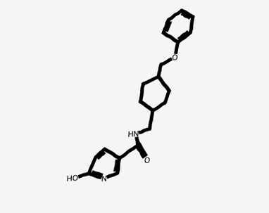 O=C(NCC1CCC(COc2ccccc2)CC1)c1ccc(O)nc1